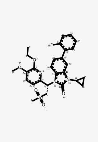 CCOc1nc([C@@H](CS(C)(=O)=O)n2c(=O)n(C3CC3)c3cc(-c4ccccc4F)ccc32)ccc1OC